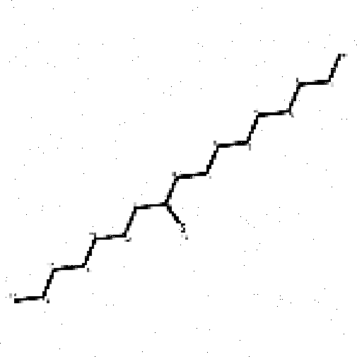 CCCCCCCCCC([S])CCCCCCC